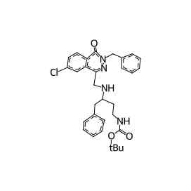 CC(C)(C)OC(=O)NCCC(Cc1ccccc1)NCc1nn(Cc2ccccc2)c(=O)c2ccc(Cl)cc12